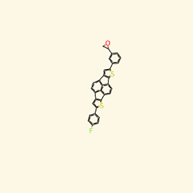 Fc1ccc(-c2cc3c(s2)-c2ccc4c5c(ccc-3c25)-c2cc(-c3cccc(C5CO5)c3)sc2-4)cc1